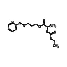 CCSC(=S)SC(C)C(=O)OCCCSSc1ccccn1